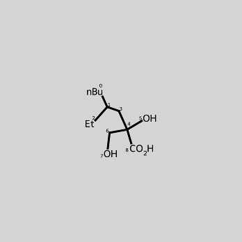 CCCCC(CC)CC(O)(CO)C(=O)O